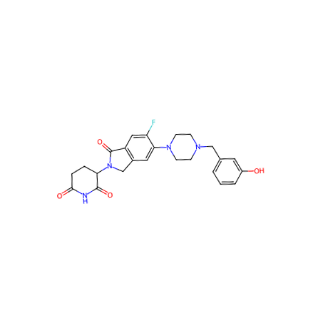 O=C1CCC(N2Cc3cc(N4CCN(Cc5cccc(O)c5)CC4)c(F)cc3C2=O)C(=O)N1